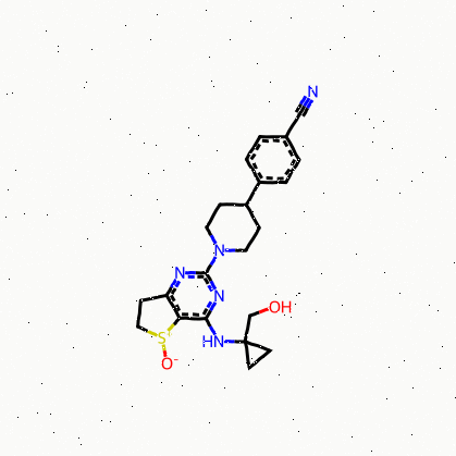 N#Cc1ccc(C2CCN(c3nc4c(c(NC5(CO)CC5)n3)[S+]([O-])CC4)CC2)cc1